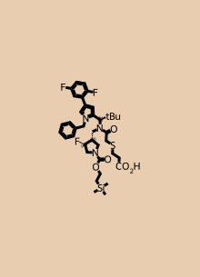 CC(C)(C)[C@H](c1cc(-c2cc(F)ccc2F)cn1Cc1ccccc1)N(C[C@@H]1CN(C(=O)OCC[Si](C)(C)C)C[C@@H]1F)C(=O)CSCCC(=O)O